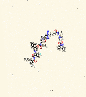 CN(CCN1CCC(OC(=O)Nc2ccccc2-c2ccccc2)CC1)C(=O)CCCCCNc1ccc(C(=O)N(C)CCCN(C)C(=O)COC2Cc3ccccc3C23CCN(CC[C@@]2(c4ccc(F)cc4)CN(C(=O)c4cc(C(F)(F)F)cc(C(F)(F)F)c4)CO2)CC3)nn1